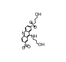 O=[N+]([O-])c1ccc2nc3ccc(S(=O)(=O)CCCO)cc3c(NCCCO)c2c1